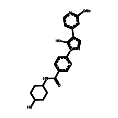 COc1cc(-c2cnn(-c3ccc(C(=O)NC4CCC(O)CC4)cn3)c2O)ccn1